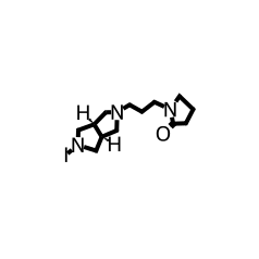 O=C1CCCN1CCCN1C[C@H]2CN(I)C[C@H]2C1